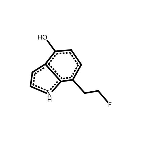 Oc1ccc(CCF)c2[nH]ccc12